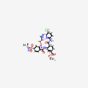 CNS(=O)(=O)c1ccc(C(=O)Nc2cc(C(=O)OC)ccc2C(=O)Nc2ccc(Cl)cn2)c(OCCCN)c1